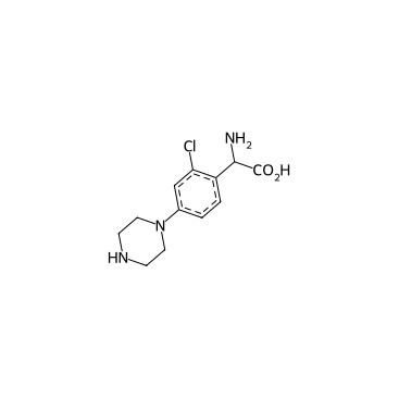 NC(C(=O)O)c1ccc(N2CCNCC2)cc1Cl